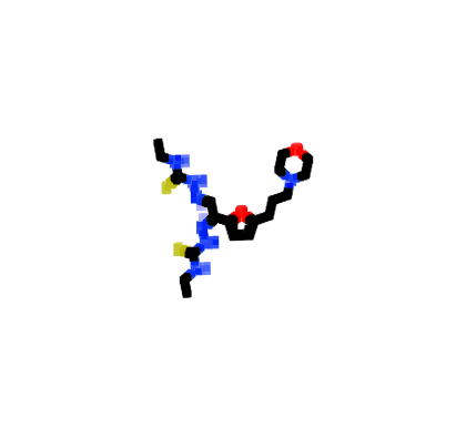 CCNC(=S)N/N=C(/C=N/NC(=S)NCC)c1ccc(CCCN2CCOCC2)o1